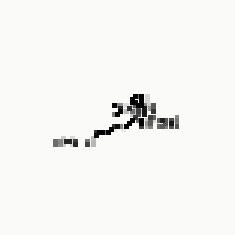 CCCCCCCCCCCC(CCCCC)[NH+](C)[O-]